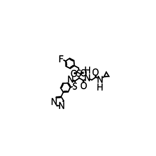 O=C(CNC(=O)C(c1nc2ccc(-c3cncnc3)cc2s1)S(=O)(=O)Cc1ccc(F)cc1)NC1CC1